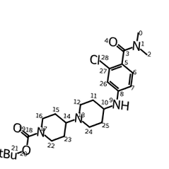 CN(C)C(=O)c1ccc(NC2CCN(C3CCN(C(=O)OC(C)(C)C)CC3)CC2)cc1Cl